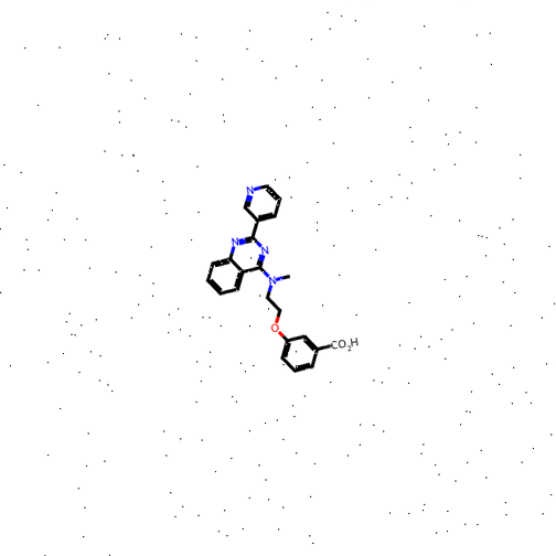 CN(CCOc1cccc(C(=O)O)c1)c1nc(-c2cccnc2)nc2ccccc12